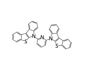 c1cc(-n2c3ccccc3c3c4ccccc4sc32)nc(-n2c3ccccc3c3c4ccccc4sc32)c1